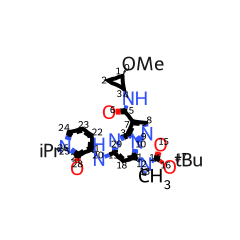 CO[C@H]1C[C@@H]1NC(=O)c1cnn2c(N(C)C(=O)OC(C)(C)C)cc(Nc3cccn(C(C)C)c3=O)nc12